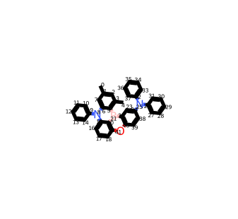 Cc1cc(C)c2c(c1)N(c1ccccc1)c1cccc3c1B2c1cc(N(c2ccccc2)c2ccccc2)ccc1O3